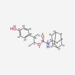 CC(OC(=O)NC12CC3CC(CC(C3)C1)C2)C(C)c1ccc(O)cc1